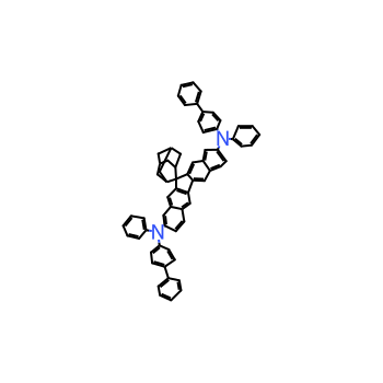 c1ccc(-c2ccc(N(c3ccccc3)c3ccc4cc5c(cc4c3)C3(c4cc6cc(N(c7ccccc7)c7ccc(-c8ccccc8)cc7)ccc6cc4-5)C4CC5CC(C4)CC3C5)cc2)cc1